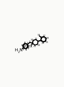 CCCCCCC1(Cc2ccc(N)cc2)CCC(c2ccccc2C)CC1